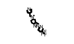 CN(Cc1ccncc1)C1CCc2nn(-c3ccc(C(F)(F)F)cn3)cc2C1